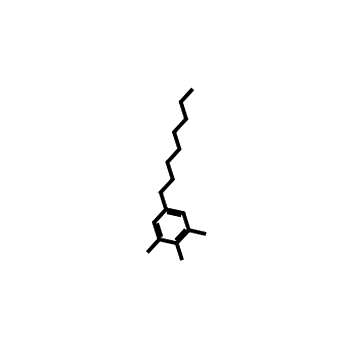 CCCCCCC[CH]c1cc(C)c(C)c(C)c1